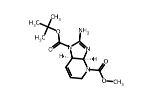 COC(=O)N1CC=C[C@@H]2[C@H]1N=C(N)N2C(=O)OC(C)(C)C